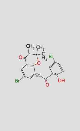 CC1C(=O)c2cc(Br)ccc2OC1(C)C.CCC(=O)c1cc(Br)ccc1O